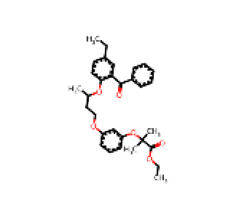 CCOC(=O)C(C)(C)Oc1cccc(OCCC(C)Oc2ccc(CC)cc2C(=O)c2ccccc2)c1